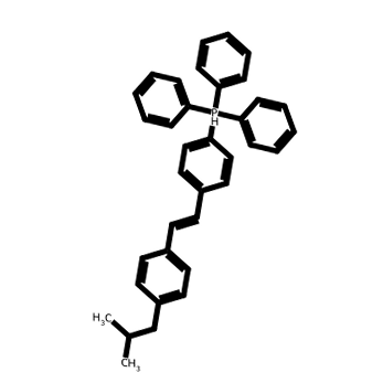 CC(C)Cc1ccc(C=Cc2ccc([PH](c3ccccc3)(c3ccccc3)c3ccccc3)cc2)cc1